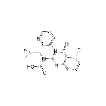 O=C(O)N(CC1CC1)c1nc2cccc(Cl)c2c(=O)n1-c1cccnc1